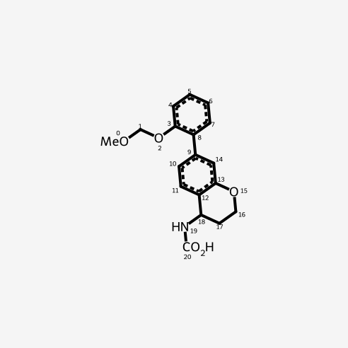 COCOc1ccccc1-c1ccc2c(c1)OCCC2NC(=O)O